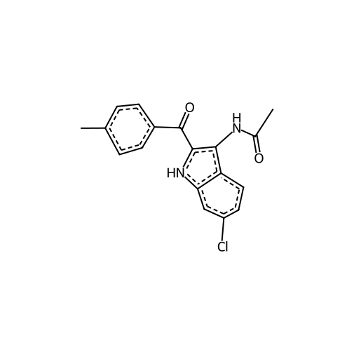 CC(=O)Nc1c(C(=O)c2ccc(C)cc2)[nH]c2cc(Cl)ccc12